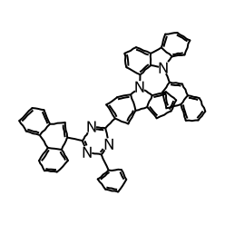 c1ccc(-c2nc(-c3ccc4c(c3)c3ccccc3n4-c3cccc4c5ccccc5n(-c5ccc6ccccc6c5)c34)nc(-c3cc4ccccc4c4ccccc34)n2)cc1